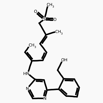 C\C=C(/C=C\C=C(/C)CS(C)(=O)=O)Nc1cc(-c2ccccc2CO)ncn1